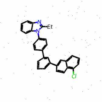 CCc1nc2ccccc2n1-c1ccc(-c2cccc(-c3ccc4c(Cl)cccc4c3)c2)cc1